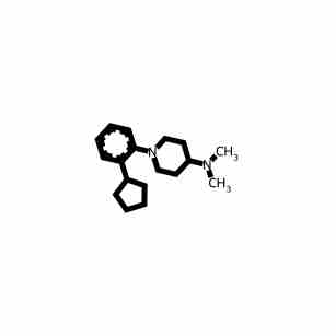 CN(C)C1CCN(c2ccccc2C2CCCC2)CC1